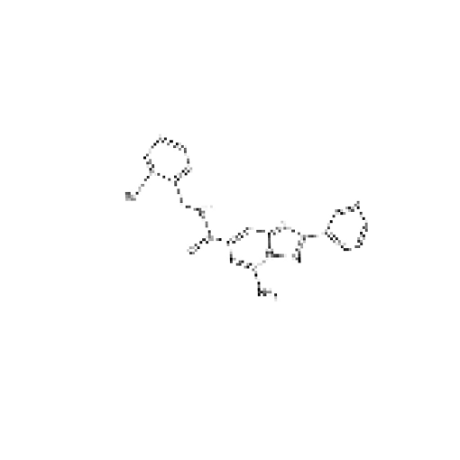 Nc1cc(C(=O)NCc2ccccc2Br)cc2nc(-c3cccnc3)nn12